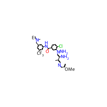 C=C(\C=N/C=C(C)/C(N)=C/N(N)c1cc(C(=O)Nc2cc(CN(C)CC)cc(C(F)(F)F)c2)ccc1Cl)OC